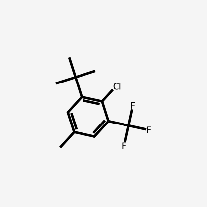 Cc1cc(C(C)(C)C)c(Cl)c(C(F)(F)F)c1